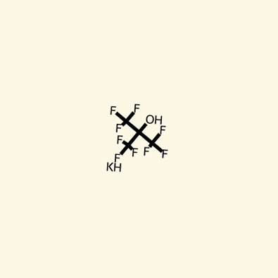 OC(C(F)(F)F)(C(F)(F)F)C(F)(F)F.[KH]